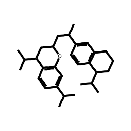 CC(C)c1ccc2c(c1)OC(CC(C)c1ccc3c(c1)CCCC3C(C)C)CC2C(C)C